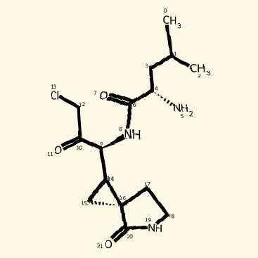 CC(C)C[C@H](N)C(=O)N[C@H](C(=O)CCl)C1C[C@@]12CCNC2=O